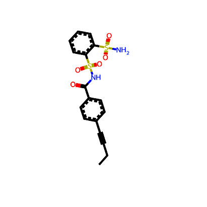 CCC#Cc1ccc(C(=O)NS(=O)(=O)c2ccccc2S(N)(=O)=O)cc1